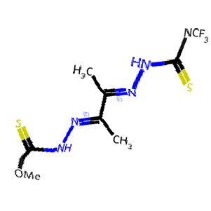 COC(=S)N/N=C(C)/C(C)=N/NC(=S)NC(F)(F)F